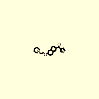 O=C(c1ccsc1)c1ccc2cc(OCCN3CCCCC3)ccc2c1